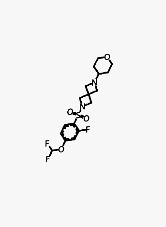 O=S(=O)(c1ccc(OC(F)F)cc1F)N1CC2(CN(C3CCOCC3)C2)C1